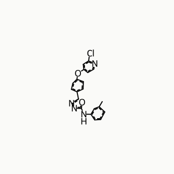 Cc1cccc(Nc2nnc(-c3ccc(Oc4ccnc(Cl)c4)cc3)o2)c1